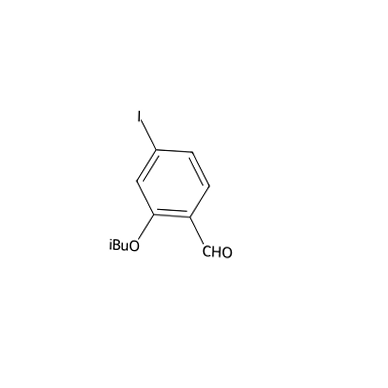 CC(C)COc1cc(I)ccc1C=O